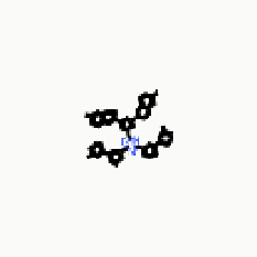 Cc1cccc(-c2cccc(-c3nc(-c4cccc(-c5cccc(C)c5)c4)nc(-c4cc(-c5ccc6cc(C)ccc6c5)cc(-c5ccc6cc(C)ccc6c5)c4)n3)c2)c1